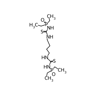 CCP(=O)(CC)NC(=S)NCCCCNC(=S)NP(=O)(CC)CC